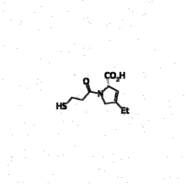 CCC1=C[C@@H](C(=O)O)N(C(=O)CCS)C1